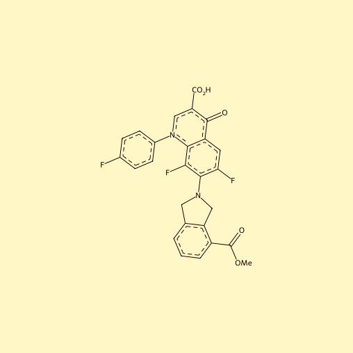 COC(=O)c1cccc2c1CN(c1c(F)cc3c(=O)c(C(=O)O)cn(-c4ccc(F)cc4)c3c1F)C2